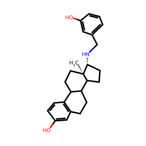 C[C@@]12CCC3c4ccc(O)cc4CCC3C1CC[C@H]2NCc1cccc(O)c1